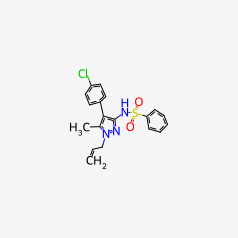 C=CCn1nc(NS(=O)(=O)c2ccccc2)c(-c2ccc(Cl)cc2)c1C